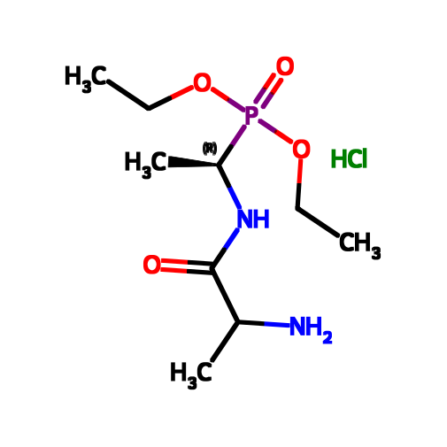 CCOP(=O)(OCC)[C@H](C)NC(=O)C(C)N.Cl